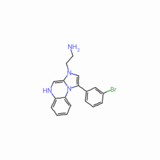 NCCN1C=C(c2cccc(Br)c2)N2C1=CNc1ccccc12